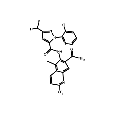 Cc1c(NC(=O)c2cc(C(F)F)nn2-c2ncccc2Cl)c(C(N)=O)cc2nc(C(F)(F)F)ccc12